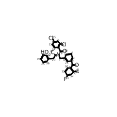 O=C(c1cccc(CN(C(=O)c2ccc(Cl)cc2Cl)[C@@H](Cc2ccccc2)C(=O)O)c1)c1ccc(F)cc1F